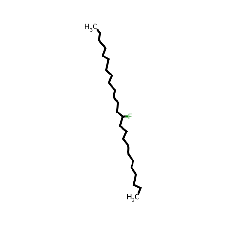 CCCCCCCCCCCCCC(F)CCCCCCCCCCC